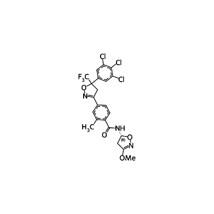 COC1=NO[C@@H](NC(=O)c2ccc(C3=NOC(c4cc(Cl)c(Cl)c(Cl)c4)(C(F)(F)F)C3)cc2C)C1